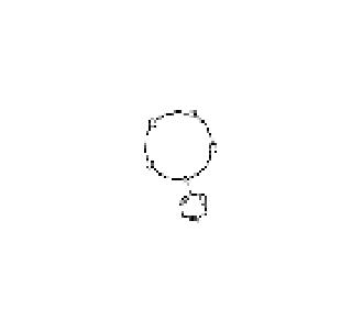 c1ccc(N2CCOCCOCCOCCOCC2)nc1